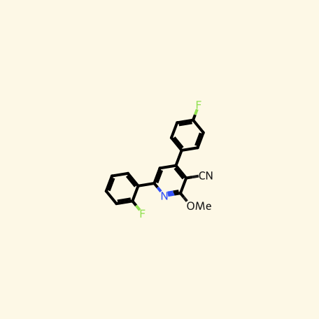 COc1nc(-c2ccccc2F)cc(-c2ccc(F)cc2)c1C#N